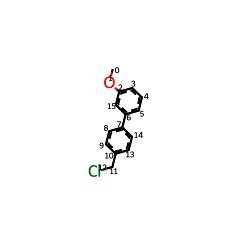 COc1cccc(-c2ccc(CCl)cc2)c1